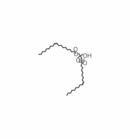 CCCCCCCC/C=C\CCCCCCCC(=O)OCC(CO)(CO)COC(=O)CCCCCCC/C=C\CCCCCCCC